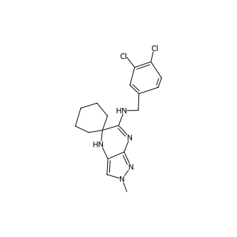 Cn1cc2c(n1)N=C(NCc1ccc(Cl)c(Cl)c1)C1(CCCCC1)N2